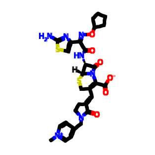 C[n+]1ccc(CN2CCC(=CC3=C(C(=O)[O-])N4C(=O)[C@@H](NC(=O)/C(=N\OC5CCCC5)c5csc(N)n5)[C@H]4SC3)C2=O)cc1